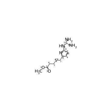 COC(=O)CCSCc1csc(NC(N)N)n1